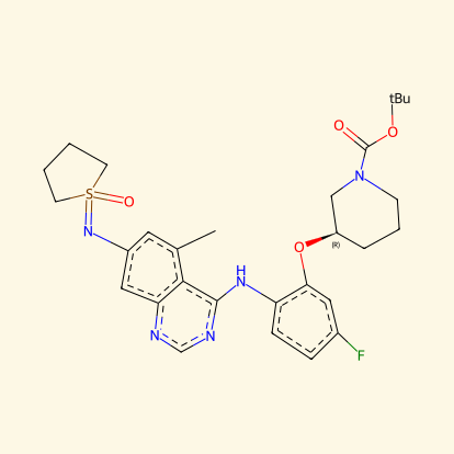 Cc1cc(N=S2(=O)CCCC2)cc2ncnc(Nc3ccc(F)cc3O[C@@H]3CCCN(C(=O)OC(C)(C)C)C3)c12